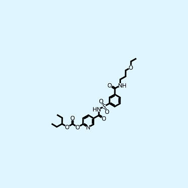 CCOCCCNC(=O)c1cccc(S(=O)(=O)NC(=O)c2ccc(OC(=O)OC(CC)CC)nc2)c1